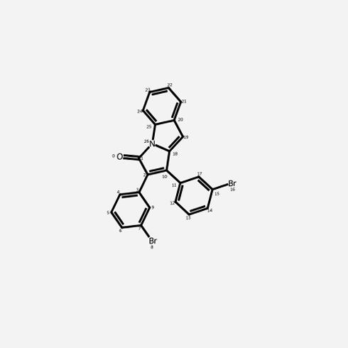 O=C1C(c2cccc(Br)c2)=C(c2cccc(Br)c2)c2cc3ccccc3n21